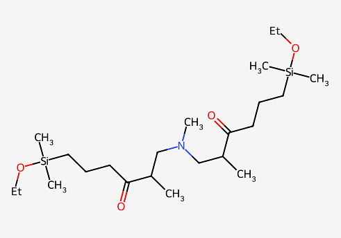 CCO[Si](C)(C)CCCC(=O)C(C)CN(C)CC(C)C(=O)CCC[Si](C)(C)OCC